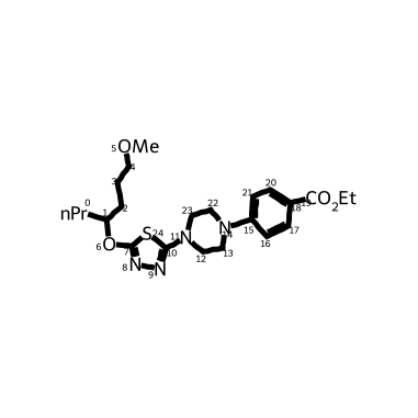 CCCC(CCCOC)Oc1nnc(N2CCN(c3ccc(C(=O)OCC)cc3)CC2)s1